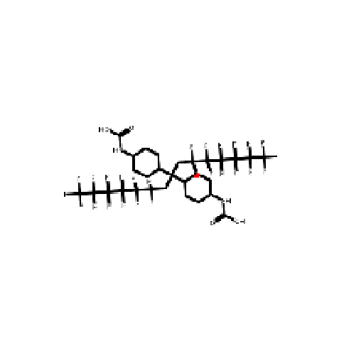 O=C(O)NC1CCC(C(CC(F)(F)C(F)(F)C(F)(F)C(F)(F)C(F)(F)C(F)(F)F)(CC(F)(F)C(F)(F)C(F)(F)C(F)(F)C(F)(F)C(F)(F)F)C2CCC(NC(=O)O)CC2)CC1